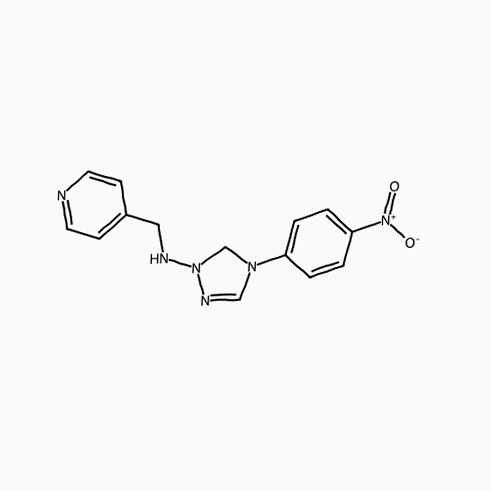 O=[N+]([O-])c1ccc(N2C=NN(NCc3ccncc3)C2)cc1